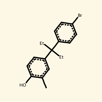 CCC(CC)(c1ccc(Br)cc1)c1ccc(O)c(C)c1